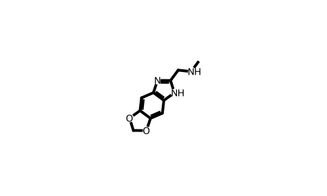 CNCc1nc2cc3c(cc2[nH]1)OCO3